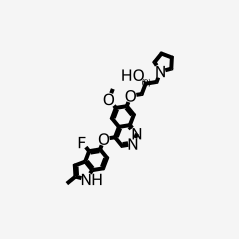 COc1cc2c(Oc3ccc4[nH]c(C)cc4c3F)cnnc2cc1OC[C@H](O)CN1CCCC1